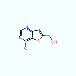 OCc1cc2ncnc(Cl)c2s1